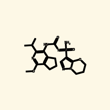 COc1nc(C(C)C)c(NC(=O)N=S(N)(=O)c2cnn3c2OCCC3)c2c1CCC2